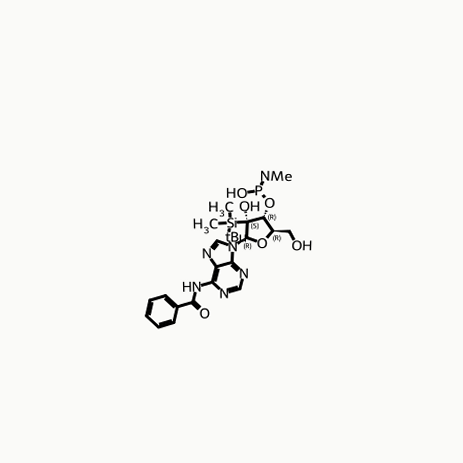 CNP(O)O[C@@H]1[C@@H](CO)O[C@@H](n2cnc3c(NC(=O)c4ccccc4)ncnc32)[C@@]1(O)[Si](C)(C)C(C)(C)C